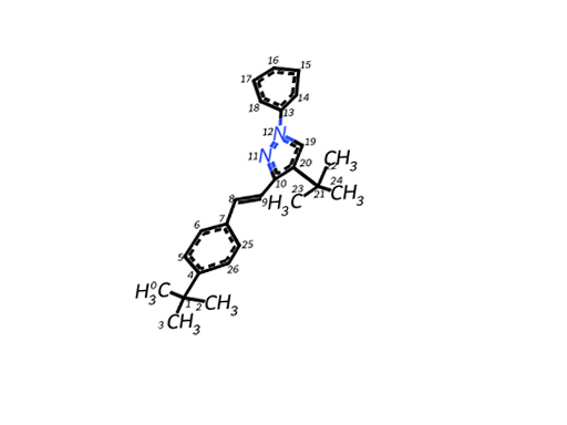 CC(C)(C)c1ccc(C=Cc2nn(-c3ccccc3)cc2C(C)(C)C)cc1